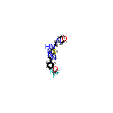 FC(F)(F)Oc1cccc(-c2cn3nc(NCCN4CCOCC4)sc3n2)c1